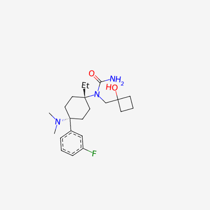 CC[C@]1(N(CC2(O)CCC2)C(N)=O)CC[C@@](c2cccc(F)c2)(N(C)C)CC1